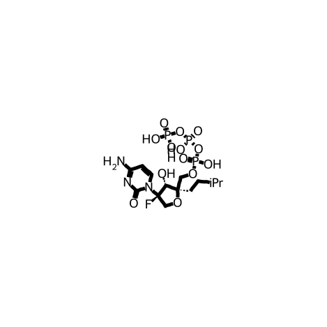 CC(C)CC[C@]1(COP(=O)(O)OP(=O)(O)OP(=O)(O)O)OC[C@](F)(n2ccc(N)nc2=O)[C@@H]1O